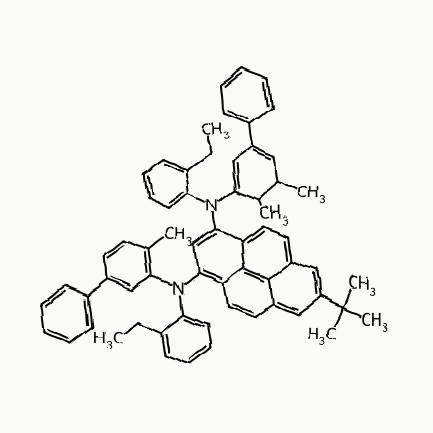 CCc1ccccc1N(C1=CC(c2ccccc2)=CC(C)C1C)c1cc(N(c2cc(-c3ccccc3)ccc2C)c2ccccc2CC)c2ccc3cc(C(C)(C)C)cc4ccc1c2c43